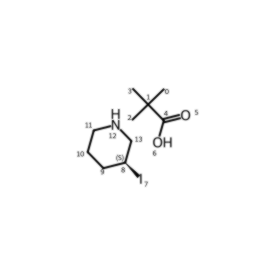 CC(C)(C)C(=O)O.I[C@H]1CCCNC1